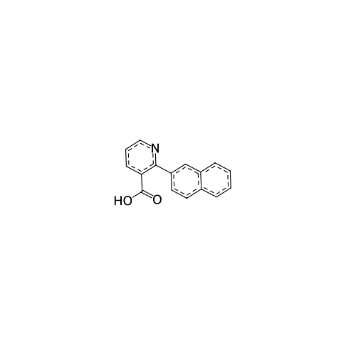 O=C(O)c1cccnc1-c1ccc2ccccc2c1